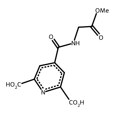 COC(=O)CNC(=O)c1cc(C(=O)O)nc(C(=O)O)c1